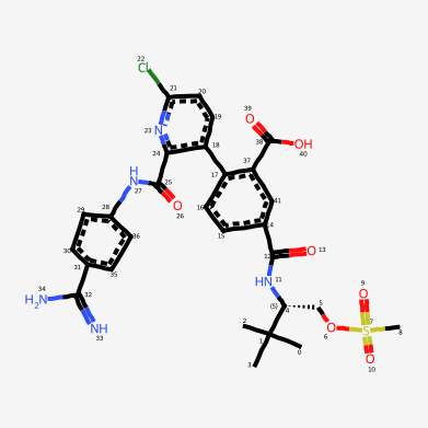 CC(C)(C)[C@@H](COS(C)(=O)=O)NC(=O)c1ccc(-c2ccc(Cl)nc2C(=O)Nc2ccc(C(=N)N)cc2)c(C(=O)O)c1